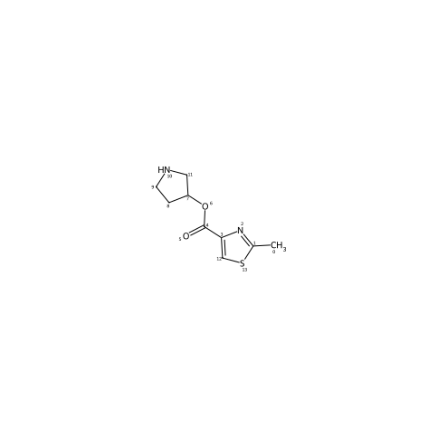 Cc1nc(C(=O)OC2CCNC2)cs1